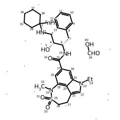 CCCC1(NC[C@@H](O)[C@H](Cc2ccccc2)NC(=O)c2cc3c4c(cn(CC)c4c2)CCS(=O)(=O)N3C)CCCCC1.O=CO